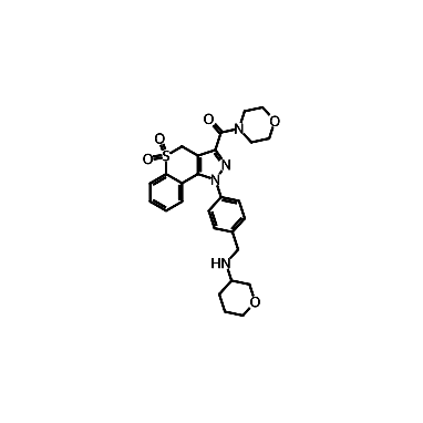 O=C(c1nn(-c2ccc(CNC3CCCOC3)cc2)c2c1CS(=O)(=O)c1ccccc1-2)N1CCOCC1